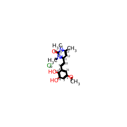 COc1cc(O)c(O)c(C=Cc2cc(C)n(C)c(=O)[n+]2C)c1.[Cl-]